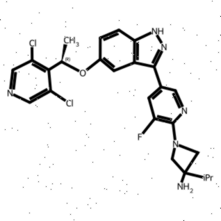 CC(C)C1(N)CN(c2ncc(-c3n[nH]c4ccc(O[C@H](C)c5c(Cl)cncc5Cl)cc34)cc2F)C1